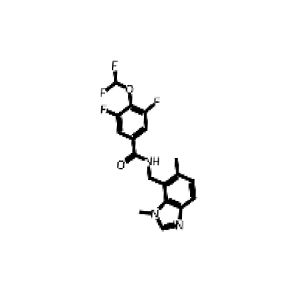 Cc1ccc2ncn(C)c2c1CNC(=O)c1cc(F)c(OC(F)F)c(F)c1